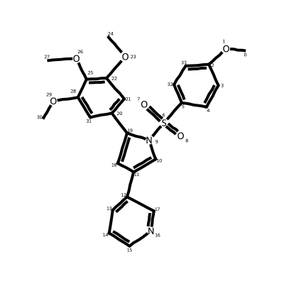 COc1ccc(S(=O)(=O)n2cc(-c3cccnc3)cc2-c2cc(OC)c(OC)c(OC)c2)cc1